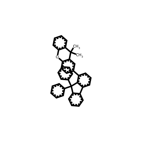 CC1(C)c2ccccc2Oc2ccc(-c3cccc4c3C(c3ccccc3)(c3ccccc3)c3ccccc3-4)cc21